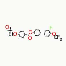 CCC1(COc2ccc(C(=O)Oc3ccc(-c4ccc(OC(F)(F)F)c(F)c4)cc3)cc2)COC1